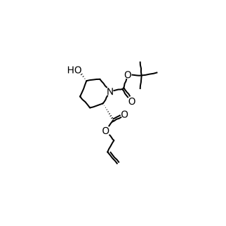 C=CCOC(=O)[C@@H]1CC[C@H](O)CN1C(=O)OC(C)(C)C